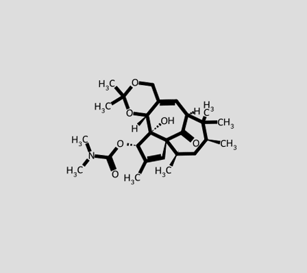 CC1=C[C@]23C(=O)[C@@H](C=C4COC(C)(C)O[C@H]4[C@]2(O)[C@H]1OC(=O)N(C)C)C(C)(C)[C@@H](C)C[C@H]3C